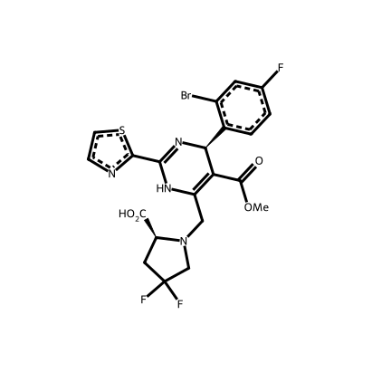 COC(=O)C1=C(CN2CC(F)(F)C[C@H]2C(=O)O)NC(c2nccs2)=N[C@H]1c1ccc(F)cc1Br